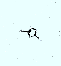 Fc1cnc(Cl)s1